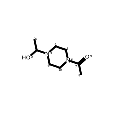 [CH2]C(O)N1CCN(C(C)=O)CC1